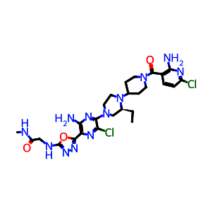 CC[C@H]1CN(c2nc(N)c(-c3nnc(NCC(=O)NC)o3)nc2Cl)CCN1C1CCN(C(=O)c2ccc(Cl)nc2N)CC1